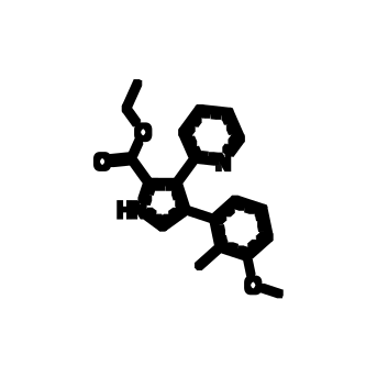 CCOC(=O)c1[nH]cc(-c2cccc(OC)c2C)c1-c1ccccn1